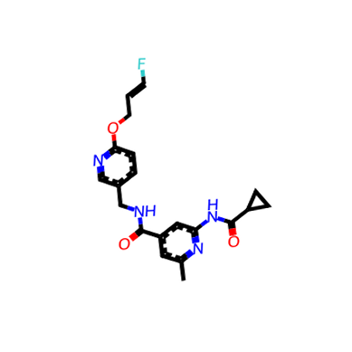 Cc1cc(C(=O)NCc2ccc(OCC=CF)nc2)cc(NC(=O)C2CC2)n1